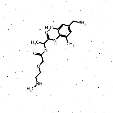 BCc1cc(C)c(NC(=O)C(C)NC(=O)COCCNC)c(C)c1